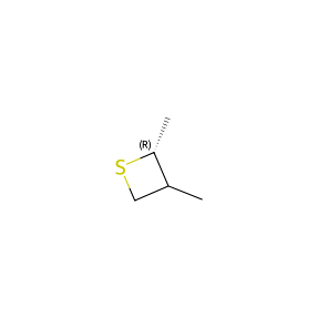 CC1CS[C@@H]1C